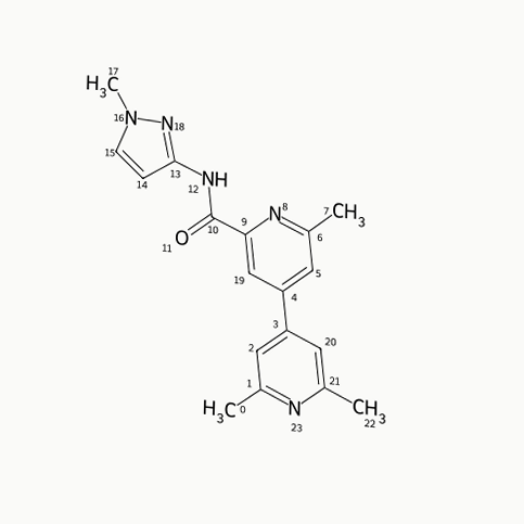 Cc1cc(-c2cc(C)nc(C(=O)Nc3ccn(C)n3)c2)cc(C)n1